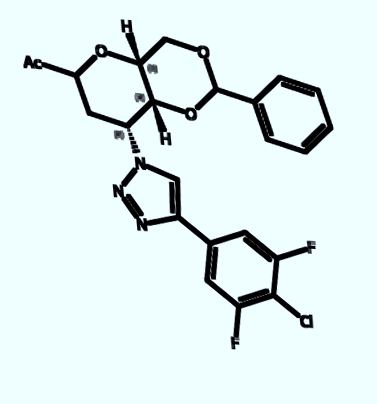 CC(=O)C1C[C@@H](n2cc(-c3cc(F)c(Cl)c(F)c3)nn2)[C@H]2OC(c3ccccc3)OC[C@H]2O1